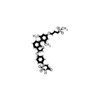 Cc1cc(OCCCS(C)(=O)=O)cc(C)c1-c1cccc2c1OC[C@H]2Oc1ccc(N2CC(=O)NS2(=O)=O)cc1